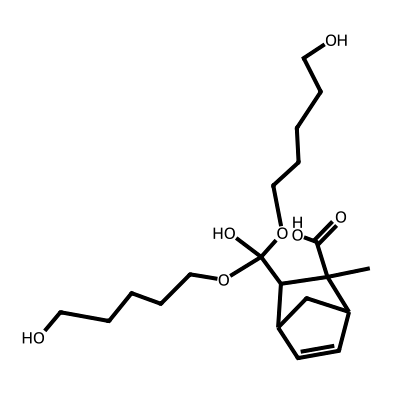 CC1(C(=O)O)C2C=CC(C2)C1C(O)(OCCCCCO)OCCCCCO